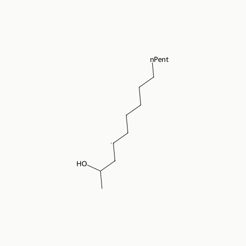 CCCCCCCCCC[CH]CC(C)O